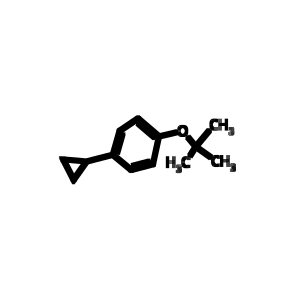 CC(C)(C)Oc1ccc([C]2CC2)cc1